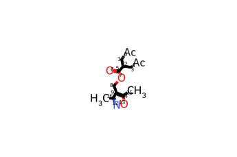 CC(=O)CC(CC(C)=O)C(=O)OCc1c(C)noc1C